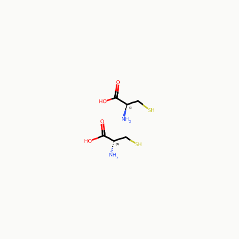 N[C@@H](CS)C(=O)O.N[C@H](CS)C(=O)O